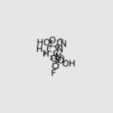 CC(C(=O)O)c1cn(C[C@H](CCO)N(C)S(=O)(=O)c2ccc(F)cc2)c2ncccc12